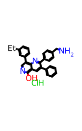 CCc1cccc(-c2cnc(O)c3cc(-c4ccccc4)c(-c4ccc(CN)cc4)nc23)c1.Cl